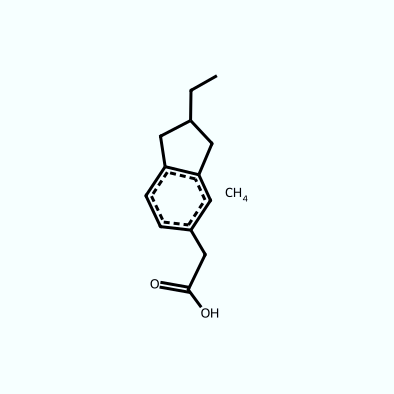 C.CCC1Cc2ccc(CC(=O)O)cc2C1